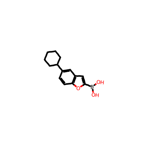 OB(O)c1cc2cc(C3CCCCC3)ccc2o1